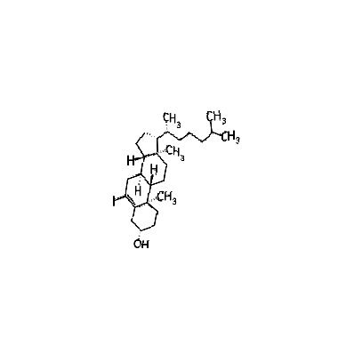 CC(C)CCC[C@@H](C)[C@H]1CC[C@H]2[C@@H]3CC(I)=C4C[C@@H](O)CC[C@]4(C)[C@H]3CC[C@]12C